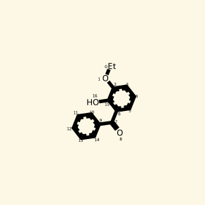 CCOc1cccc(C(=O)c2ccccc2)c1O